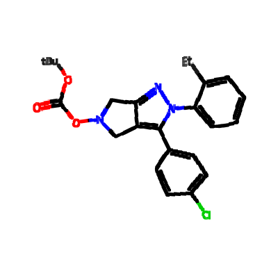 CCc1ccccc1-n1nc2c(c1-c1ccc(Cl)cc1)CN(OC(=O)OC(C)(C)C)C2